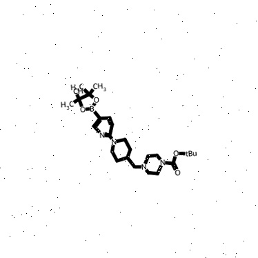 CC(C)(C)OC(=O)N1CCN(CC2CCN(c3ccc(B4OC(C)(C)C(C)(C)O4)cn3)CC2)CC1